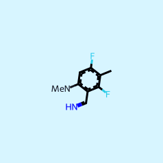 CNc1cc(F)c(C)c(F)c1C=N